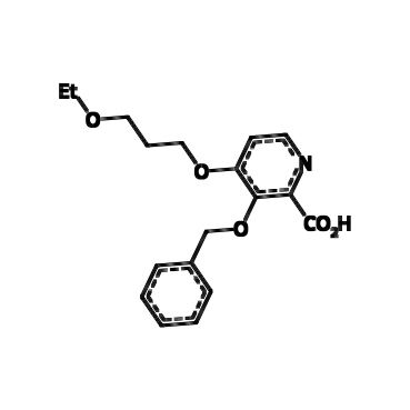 CCOCCCOc1ccnc(C(=O)O)c1OCc1ccccc1